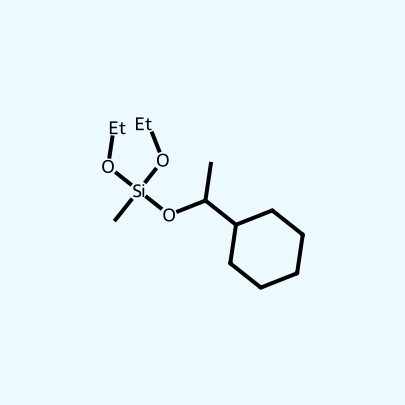 CCO[Si](C)(OCC)OC(C)C1CCCCC1